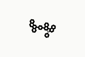 c1ccc(-n2c3ccc4ccccc4c3c3c4ccccc4c(-c4ccc(-c5cc6c7ccccc7ccc6c6ccccc56)cc4)cc32)cc1